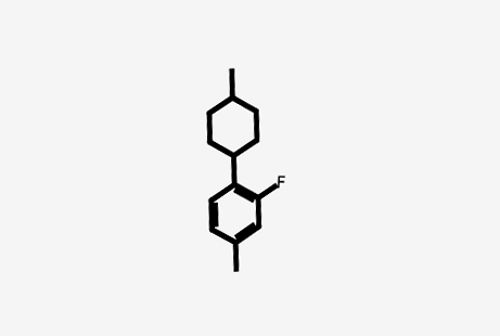 Cc1ccc(C2CCC(C)CC2)c(F)c1